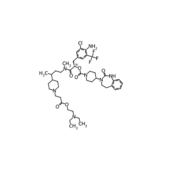 CCN(CC)CCOC(=O)CCN1CCC(C(C)CCN(C)C(=O)[C@@H](Cc2cc(Cl)c(N)c(C(F)(F)F)c2)OC(=O)N2CCC(N3CCc4ccccc4NC3=O)CC2)CC1